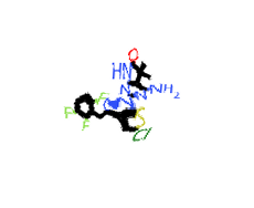 CC1(C)C(=O)Nc2nc(-n3nc(Cc4c(F)ccc(F)c4F)c4cc(Cl)sc43)nc(N)c21